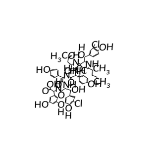 C=C(NC(C(=O)NC(CC(C)=O)C(=O)NC(C(=O)NC(C(=O)NC(C(=O)NC(C(=O)O)c1cc(O)cc(O)c1)C(O)c1ccc(O)c(Cl)c1)c1ccc(O)cc1)c1ccc(O)cc1)C(O)c1ccc(O)c(Cl)c1)C(C)CCC